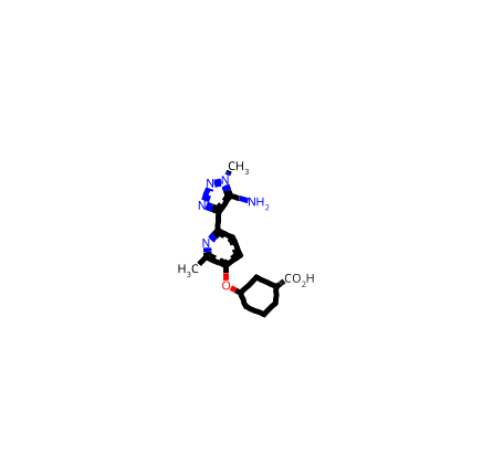 Cc1nc(-c2nnn(C)c2N)ccc1OC1CCCC(C(=O)O)C1